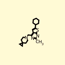 Cc1nc(CN2CCC3(CC2)CC3)c2cc(C3CCCCC3)sc2n1